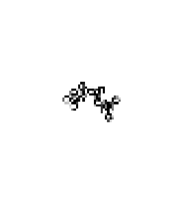 c1ccc(-c2nc(-c3ccccc3)nc(-c3cccc(-n4c5ccccc5c5cc6c7ccccc7n(-c7cccc([Si](c8ccccc8)(c8ccccc8)C8CCCCC8)c7)c6cc54)c3)n2)cc1